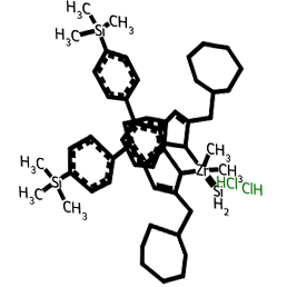 C[Si](C)(C)c1ccc(-c2cccc3c2C=C(CC2CCCCCC2)[CH]3[Zr]([CH3])([CH3])(=[SiH2])[CH]2C(CC3CCCCCC3)=Cc3c(-c4ccc([Si](C)(C)C)cc4)cccc32)cc1.Cl.Cl